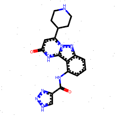 O=C(Nc1cccc2nn3c(C4CCNCC4)cc(=O)[nH]c3c12)c1c[nH]nn1